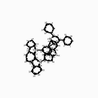 c1ccc(-c2cc(-c3ccccc3)nc(-c3cccc(-n4c5ccccc5c5ccc6c7ccccc7n(-c7ccc8sc9ccccc9c8c7)c6c54)c3)n2)cc1